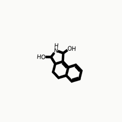 OC1NC(O)C2CCC3C=CC=CC3=C12